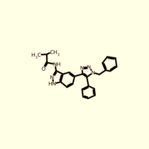 CC(C)C(=O)Nc1n[nH]c2ccc(-c3nnn(Cc4ccccc4)c3-c3ccccc3)cc12